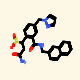 NC(=O)CC(c1ccc(Cn2cccn2)cc1C(=O)NCc1ccc2ccccc2c1)[SH](=O)=O